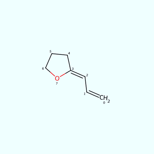 C=CC=C1CCCO1